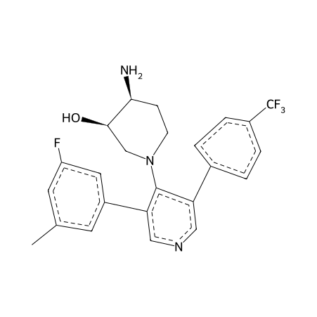 Cc1cc(F)cc(-c2cncc(-c3ccc(C(F)(F)F)cc3)c2N2CC[C@H](N)[C@H](O)C2)c1